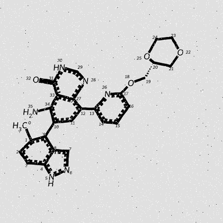 Cc1ccc2[nH]ncc2c1-c1cc(-c2cccc(OC[C@H]3COCCO3)n2)c2nc[nH]c(=O)c2c1N